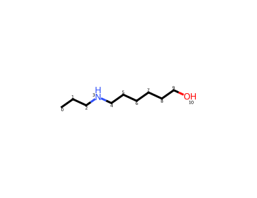 CCCNCCCCCCO